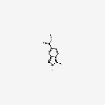 COC(=O)c1ccc2c(C)n(C)nc2c1